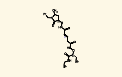 CC(C)CNC(=O)[C@@H](CC(C)C)ONC(=O)C/C=C/C(=O)NO[C@@H]1CC(C)N(CC(C)C)C1=O